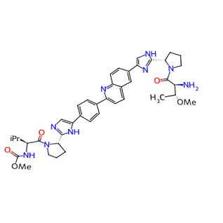 COC(=O)N[C@H](C(=O)N1CCC[C@H]1c1ncc(-c2ccc(-c3ccc4cc(-c5c[nH]c([C@@H]6CCCN6C(=O)[C@@H](N)[C@@H](C)OC)n5)ccc4n3)cc2)[nH]1)C(C)C